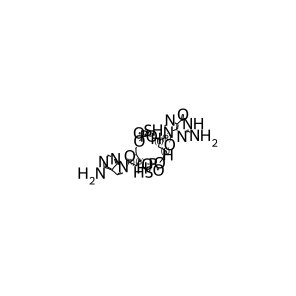 Nc1nc2c(ncn2[C@@H]2O[C@@H]3COP(=O)(S)O[C@H]4C[C@H](n5ccc6c(N)ncnc65)OC4COP(=O)(S)O[C@@H]2C3)c(=O)[nH]1